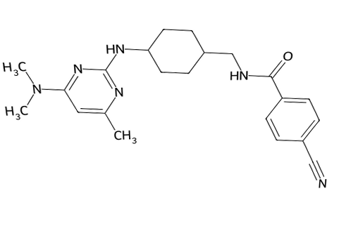 Cc1cc(N(C)C)nc(NC2CCC(CNC(=O)c3ccc(C#N)cc3)CC2)n1